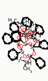 C[SiH](C)O[Si]1(c2ccccc2)O[Si]2(c3ccccc3)O[Si](O[SiH](C)C)(c3ccccc3)O[Si](c3ccccc3)(O1)O[Si]1(c3ccccc3)O[Si](O[SiH](C)C)(c3ccccc3)O[Si](c3ccccc3)(O[Si](O[SiH](C)C)(c3ccccc3)O1)O2